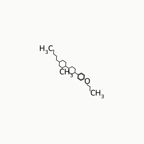 CCCCCC1CCC(C2CCC(c3ccc(OCCCC)cc3)CC2)C(C)C1